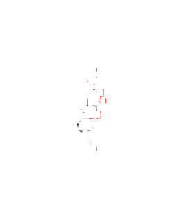 CCOC(=O)Cc1c(C)c2ccc(N(CC)CC)cc2oc1=O